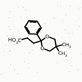 CC1(C)COC([CH]CC(=O)O)(c2ccccc2)OC1